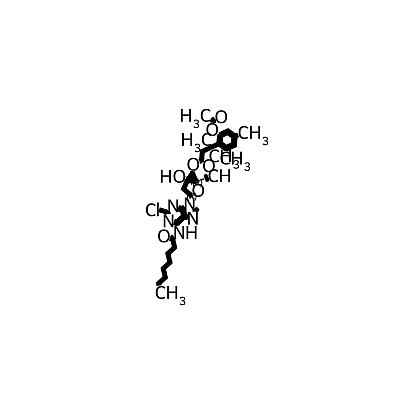 C#C[C@]12O[C@@H](n3cnc4c(NC(=O)CCCCCCC)nc(Cl)nc43)C[C@@]1(O)C2OC(=O)CC(C)(C)c1c(C)cc(C)cc1OC(C)=O